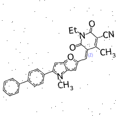 CCN1C(=O)C(C#N)=C(C)/C(=C/c2cc3c(cc(-c4ccc(-c5ccccc5)cc4)n3C)o2)C1=O